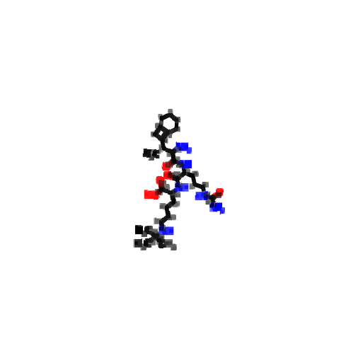 C[C@H](C1=C2CCCCC2C1)C(N)C(=O)N[C@@H](CCCNC(N)=O)C(=O)N[C@@H](CCCCNC(C)(C)C)C(=O)O